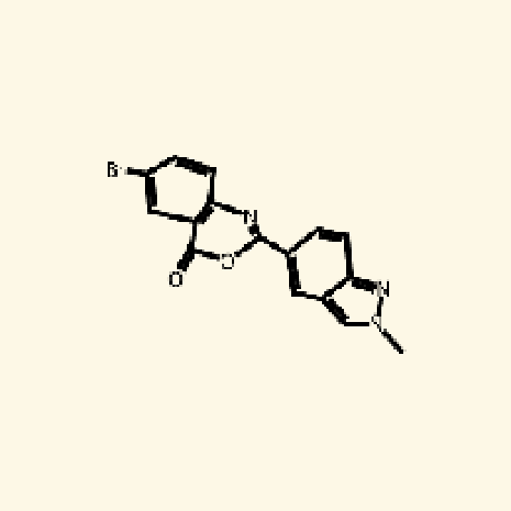 Cn1cc2cc(-c3nc4ccc(Br)cc4c(=O)o3)ccc2n1